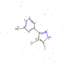 Cc1[nH]nc(-c2ccnc(C#N)c2)c1Cl